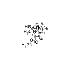 CCOC(=O)c1cn(C(C)(C)O)c2c(F)c(F)c(F)cc2c1=O